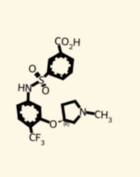 CN1CC[C@@H](Oc2cc(NS(=O)(=O)c3cccc(C(=O)O)c3)ccc2C(F)(F)F)C1